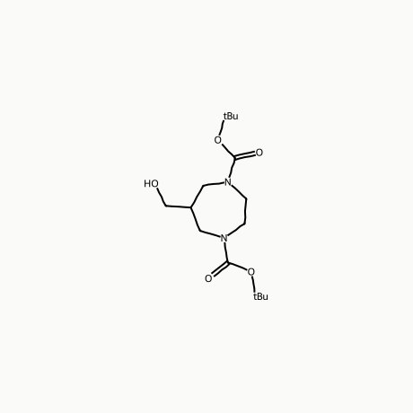 CC(C)(C)OC(=O)N1CCN(C(=O)OC(C)(C)C)CC(CO)C1